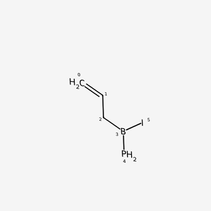 C=CCB(P)I